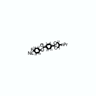 CCCC1COC(c2ccc(C(=O)OC3=CCC(F)(C#N)C=C3)cc2)OC1